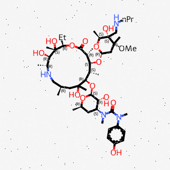 CCCNC[C@]1(O)[C@H](C)O[C@@H](O[C@H]2[C@H](C)[C@@H](O[C@@H]3O[C@H](C)C[C@H](N(C)C(=O)N(C)c4ccc(O)cc4)[C@H]3O)C(C)(O)C[C@@H](C)CN[C@H](C)[C@@H](O)[C@](C)(O)[C@@H](CC)OC(=O)[C@@H]2C)C[C@@]1(C)OC